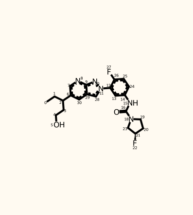 CCC(CCO)c1cnc2nn(-c3cc(NC(=O)N4CC[C@@H](F)C4)ccc3F)cc2c1